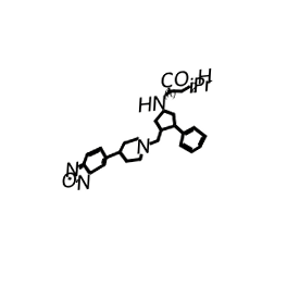 CC(C)C[C@@H](NC1CC(CN2CCC(c3ccc4nonc4c3)CC2)C(c2ccccc2)C1)C(=O)O